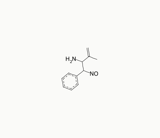 C=C(C)C(N)C(N=O)c1ccccc1